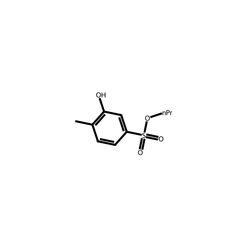 CCCOS(=O)(=O)c1ccc(C)c(O)c1